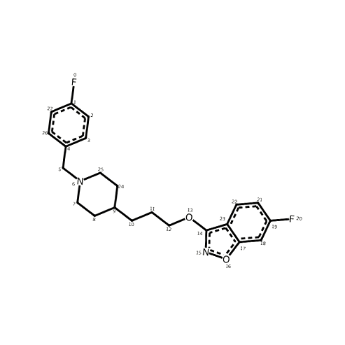 Fc1ccc(CN2CCC(CCCOc3noc4cc(F)ccc34)CC2)cc1